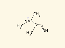 C/N=C(/C)N(C)C=N